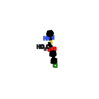 O=C(O)C(CSc1nc2ccccc2[nH]1)CS(=O)(=O)c1ccc(-c2ccc(Cl)cc2)cc1